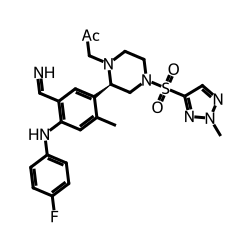 CC(=O)CN1CCN(S(=O)(=O)c2cnn(C)n2)C[C@H]1c1cc(C=N)c(Nc2ccc(F)cc2)cc1C